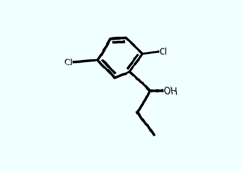 CC[C](O)c1cc(Cl)ccc1Cl